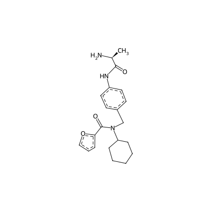 C[C@H](N)C(=O)Nc1ccc(CN(C(=O)c2ccco2)C2CCCCC2)cc1